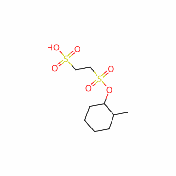 CC1CCCCC1OS(=O)(=O)CCS(=O)(=O)O